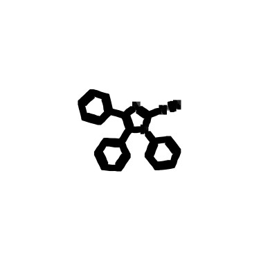 N#[N+]c1nc(-c2ccccc2)c(-c2ccccc2)n1-c1ccccc1